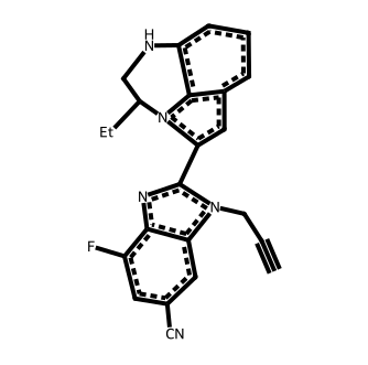 C#CCn1c(-c2cc3cccc4c3n2C(CC)CN4)nc2c(F)cc(C#N)cc21